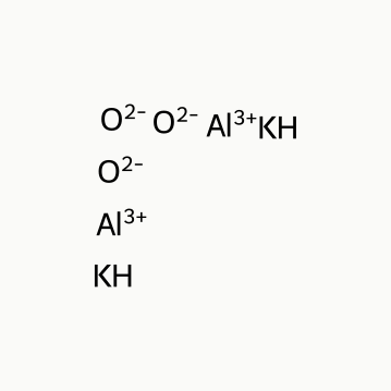 [Al+3].[Al+3].[KH].[KH].[O-2].[O-2].[O-2]